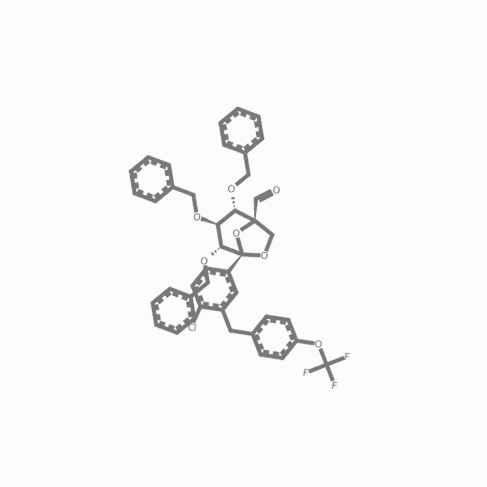 O=C[C@@]12CO[C@@](c3ccc(Cl)c(Cc4ccc(OC(F)(F)F)cc4)c3)(O1)[C@H](OCc1ccccc1)[C@@H](OCc1ccccc1)[C@@H]2OCc1ccccc1